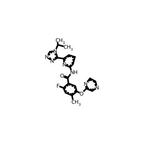 Cc1cc(F)c(C(=O)Nc2cccc(-c3nncn3C(C)C)n2)cc1Oc1cnccn1